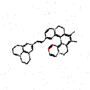 Cc1c(C)c2c(c3c1CCN1C=CC(/C=C/c4cc5c6c(c4)CCCN6CCC5)=CC=31)=C1c3ccccc3C=CN1CC2